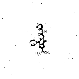 CC(C)c1cc2c(=O)n(CC(=O)Nc3ccncn3)nc(N3CCOCC3)n2c1